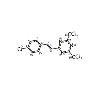 Clc1ccc(/C=C/c2nc(C(Cl)(Cl)Cl)nc(C(Cl)(Cl)Cl)n2)cc1